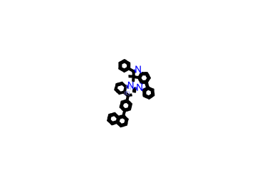 C=C(/N=C1/C=CC=C/C1=C(/C)c1ccc(-c2cccc3ccccc23)cc1)n1c2ccccc2c2ccc3c(c21)C(C)(C)C(c1ccccc1)=N3